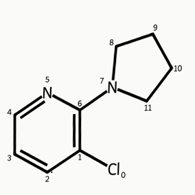 Clc1[c]ccnc1N1CCCC1